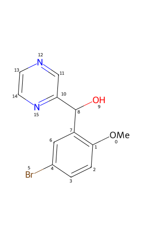 COc1ccc(Br)cc1C(O)c1cnccn1